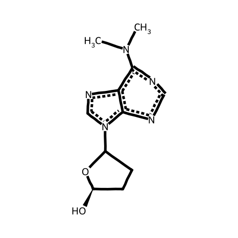 CN(C)c1ncnc2c1ncn2C1CC[C@@H](O)O1